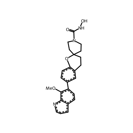 COc1c(-c2ccc3c(c2)CCC2(CCN(C(=O)NO)CC2)O3)ccc2cccnc12